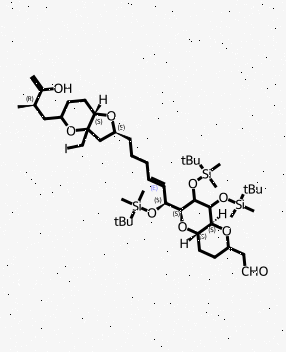 C=C(O)[C@H](C)CC1CC[C@@H]2O[C@@H](CCC/C=C/[C@H](O[Si](C)(C)C(C)(C)C)[C@@H]3O[C@H]4CCC(CC=O)O[C@@H]4C(O[Si](C)(C)C(C)(C)C)C3O[Si](C)(C)C(C)(C)C)CC2(CI)O1